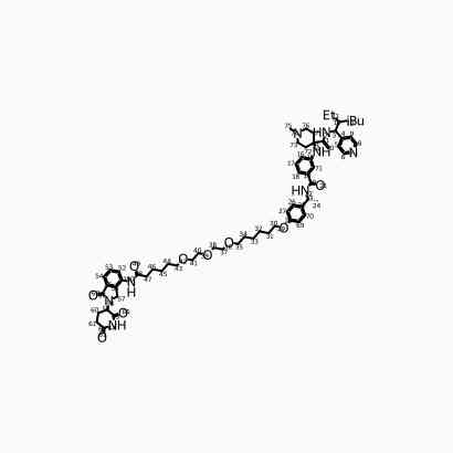 C=C(NC(c1ccncc1)C(CC)C(C)CC)C1(Nc2cccc(C(=O)N[C@H](C)c3ccc(OCCCCCCOCCOCCOCCCCCC(=O)Nc4cccc5c4CN(C4CCC(=O)NC4=O)C5=O)cc3)c2)CCN(C)CC1